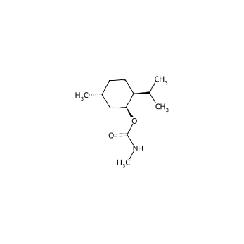 CNC(=O)O[C@H]1C[C@H](C)CC[C@H]1C(C)C